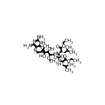 CCOC(=O)[C@H](CC(C)C)NP(=O)(N[C@@H](CC(C)C)C(=O)OCC)OCC(OC)C(O)C1(O)C(C)C1/C=N\c1c(N)nc(N)[nH]c1=O